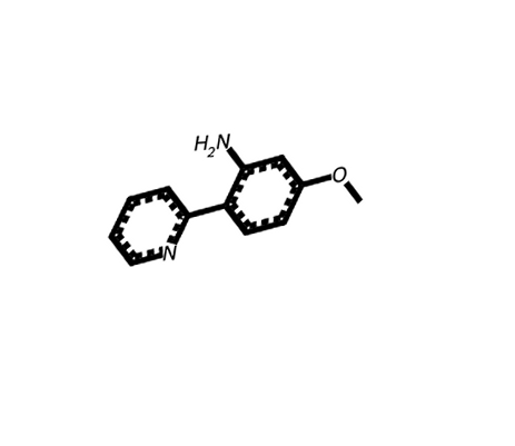 COc1ccc(-c2ccccn2)c(N)c1